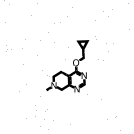 CN1CCc2c(ncnc2OCC2CC2)C1